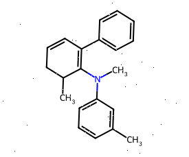 Cc1cccc(N(C)C2=C(c3ccccc3)C=CCC2C)c1